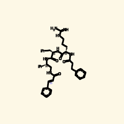 CC(C)C[C@H](NC(=O)[C@H](CCCNC(=N)N)NC(=O)CCc1ccccc1)C(=O)N[C@H](CNC(=O)/C=C/c1ccccc1)C(C)C